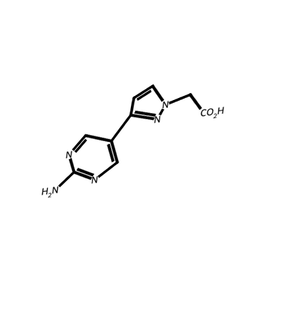 Nc1ncc(-c2ccn(CC(=O)O)n2)cn1